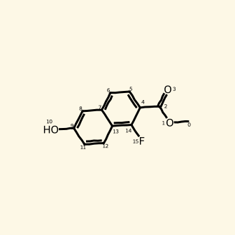 COC(=O)c1ccc2cc(O)ccc2c1F